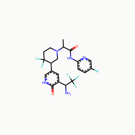 CC(C(=O)Nc1ccc(F)cn1)N1CCC(F)(F)C(c2c[nH]c(=O)c(C(N)C(F)(F)F)c2)C1